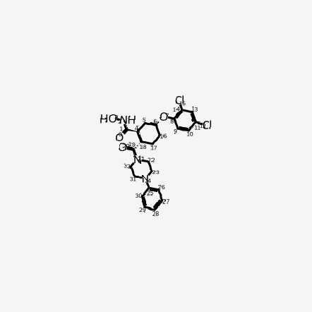 O=C(NO)[C@H]1C[C@H](Oc2ccc(Cl)cc2Cl)CC[C@@H]1C(=O)N1CCN(c2ccccc2)CC1